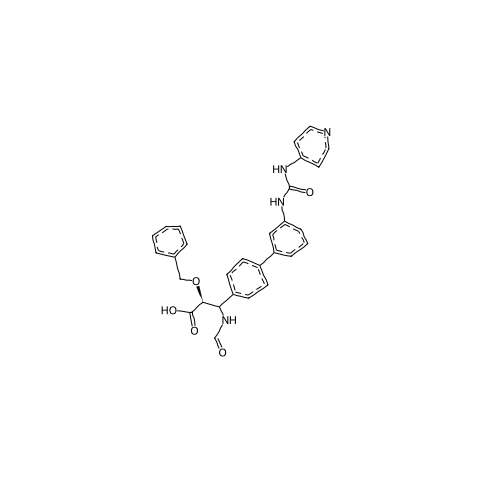 O=CNC(c1ccc(-c2cccc(NC(=O)Nc3ccncc3)c2)cc1)[C@H](OCc1ccccc1)C(=O)O